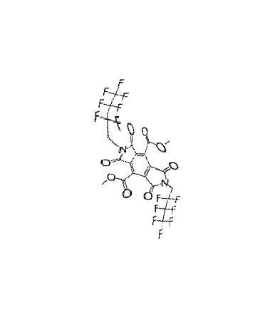 COC(=O)c1c2c(=O)n(CC(F)(F)C(F)(F)C(F)(F)F)c(=O)c2c(C(=O)OC)c2c(=O)n(CC(F)(F)C(F)(F)C(F)(F)F)c(=O)c12